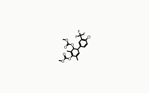 COC(=O)OC1=C(C)C(OC(=O)OC)C(c2ccc(Cl)c(C(F)(F)F)c2)C=C1C